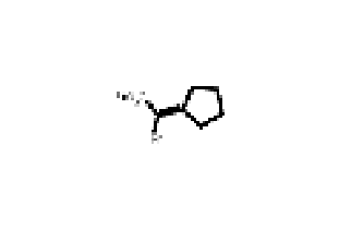 CCOC(=O)C(=C1CCCC1)C(C)C